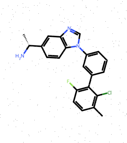 Cc1ccc(F)c(-c2cccc(-n3cnc4cc([C@@H](C)N)ccc43)c2)c1Cl